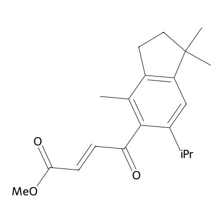 COC(=O)C=CC(=O)c1c(C(C)C)cc2c(c1C)CCC2(C)C